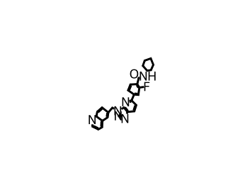 O=C(NC1CCCCC1)c1ccc(-c2ccc3nnn(Cc4ccc5ncccc5c4)c3n2)cc1F